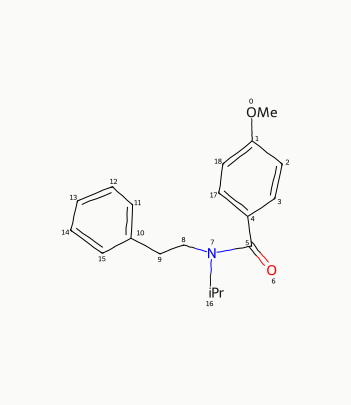 COc1ccc(C(=O)N(CCc2ccccc2)C(C)C)cc1